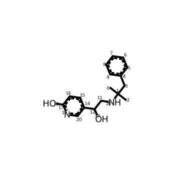 CC(C)(Cc1ccccc1)NCC(O)c1ccc(O)nc1